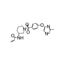 C=CC(=O)N[C@H]1CCCN(S(=O)(=O)c2ccc(Oc3cncc(C)n3)cc2)C1